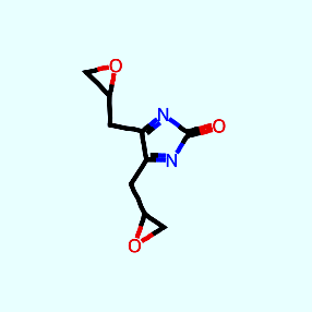 O=C1N=C(CC2CO2)C(CC2CO2)=N1